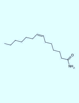 CCCCCC/C=C\CCCCCC(N)=O